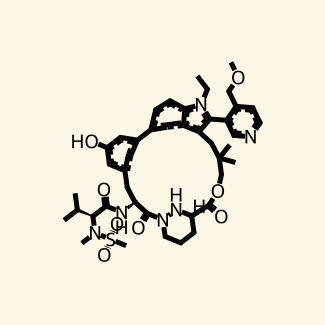 CCn1c(-c2cnccc2COC)c2c3cc(ccc31)-c1cc(O)cc(c1)C[C@H](NC(=O)[C@H](C(C)C)N(C)S(C)(=O)=O)C(=O)N1CCC[C@H](N1)C(=O)OCC(C)(C)C2